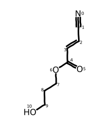 N#CC=CC(=O)OCCCO